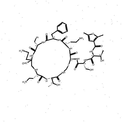 Cc1cc(C(=O)N[C@H](C(=O)N[C@H](CO)C(=O)N[C@H]2CCNC(=O)[C@H]([C@@H](C)O)NC(=O)[C@H](CCN)NC[C@](C=O)(CCN)NC(=O)[C@H](CC(C)C)NC(=O)[C@@H](Cc3ccccc3)NC(=O)[C@H](CCN)NC2=O)[C@@H](C)O)c(C)o1